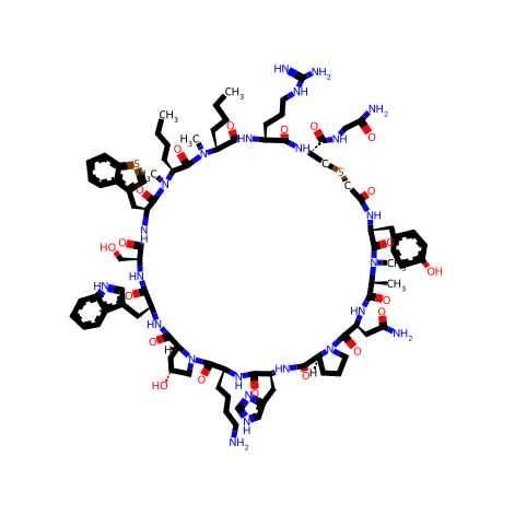 CCCC[C@H]1C(=O)N(C)[C@@H](CCCC)C(=O)N[C@@H](CCCNC(=N)N)C(=O)N[C@H](C(=O)NCC(N)=O)CSCC(=O)N[C@@H](Cc2ccc(O)cc2)C(=O)N(C)[C@@H](C)C(=O)N[C@@H](CC(N)=O)C(=O)N2CCC[C@H]2C(=O)N[C@@H](Cc2c[nH]cn2)C(=O)N[C@@H](CCCCN)C(=O)N2C[C@H](O)C[C@H]2C(=O)N[C@@H](Cc2c[nH]c3ccccc23)C(=O)N[C@@H](CO)C(=O)N[C@@H](Cc2csc3ccccc23)C(=O)N1C